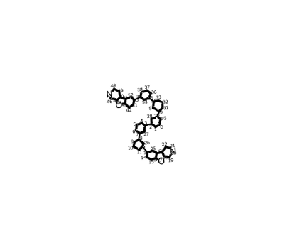 c1cc(-c2cccc(-c3cccc(-c4ccc5oc6cnccc6c5c4)c3)c2)cc(-c2cccc(-c3cccc(-c4ccc5oc6cnccc6c5c4)c3)c2)c1